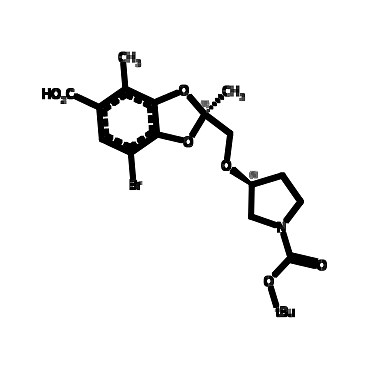 Cc1c(C(=O)O)cc(Br)c2c1O[C@@](C)(CO[C@H]1CCN(C(=O)OC(C)(C)C)C1)O2